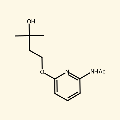 CC(=O)Nc1cccc(OCCC(C)(C)O)n1